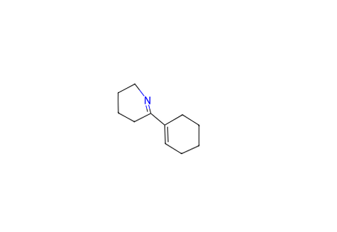 C1=C(C2=NCCCC2)CCCC1